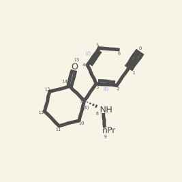 C#C/C=C(\C=C/C)[C@@]1(NCCC)CCCCC1=O